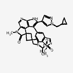 CC(N1CC2(C1)CC1(C2)C(=O)N(C)c2cnc3[nH]c(-c4cnn(CC5CC5)c4)c(-c4ccc5c(cnn5C)c4)c3c21)[SH](=O)=O